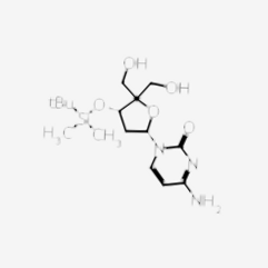 CC(C)(C)[Si](C)(C)O[C@H]1C[C@H](n2ccc(N)nc2=O)OC1(CO)CO